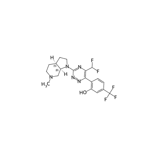 CN1CC[C@H]2CCN(c3nnc(-c4ccc(C(F)(F)F)cc4O)c(C(F)F)n3)[C@H]2C1